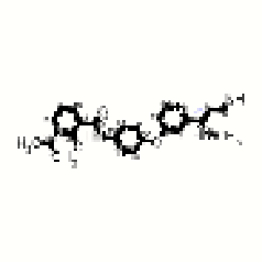 CN/C(=C\C=N)c1cc(Oc2ccc(NC(=O)c3cccn(C(C)C)c3=O)nc2)ccn1